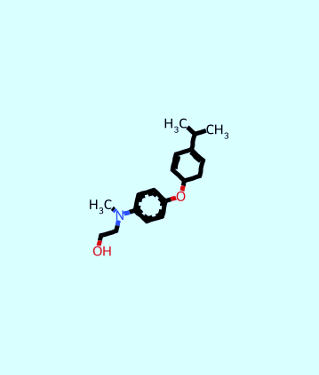 CC(C)C1=CCC(Oc2ccc(N(C)CCO)cc2)C=C1